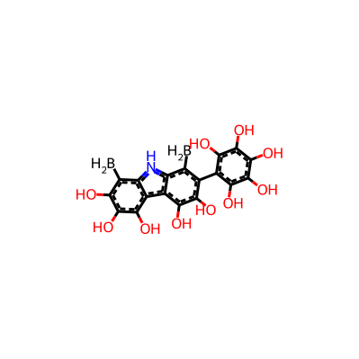 Bc1c(O)c(O)c(O)c2c1[nH]c1c(B)c(-c3c(O)c(O)c(O)c(O)c3O)c(O)c(O)c12